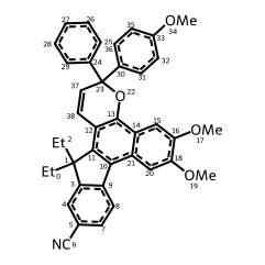 CCC1(CC)c2cc(C#N)ccc2-c2c1c1c(c3cc(OC)c(OC)cc23)OC(c2ccccc2)(c2ccc(OC)cc2)C=C1